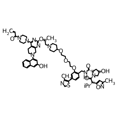 C=CC(=O)N1CCN(c2nc(O[C@H](C)CN3CCC(OCCOCCOc4cc(-c5scnc5C)ccc4CNC(=O)[C@@H]4C[C@@H](O)CN4C(=O)[C@H](c4cc(C)no4)C(C)C)CC3)nc3c2CCN(c2cc(O)cc4ccccc24)C3)CC1